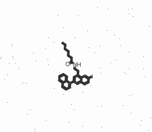 CCCCCCC(=O)NCCc1cc(-c2cccc3ccccc23)cc2ccc(I)cc12